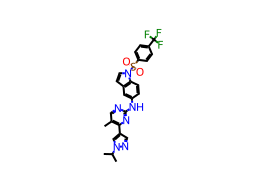 Cc1cnc(Nc2ccc3c(ccn3S(=O)(=O)c3ccc(C(F)(F)F)cc3)c2)nc1-c1cnn(C(C)C)c1